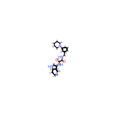 O=C(NCc1cccc(N2CCCCC2)c1)C(=O)Nc1c[nH]c2ccncc12